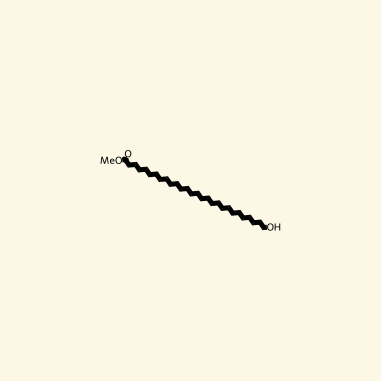 COC(=O)CCCCCCCCCCCCCCCCCCCCCCCCCCCO